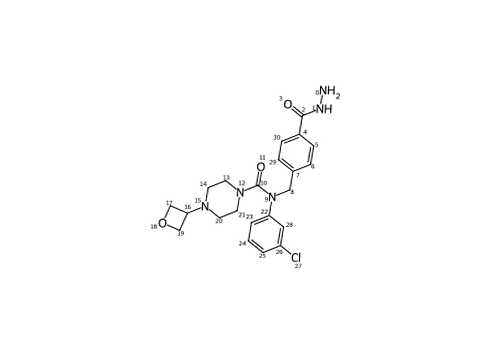 NNC(=O)c1ccc(CN(C(=O)N2CCN(C3COC3)CC2)c2cccc(Cl)c2)cc1